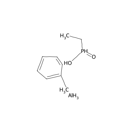 CC[PH](=O)O.Cc1ccccc1.[AlH3]